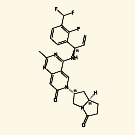 C=C[C@@H](Nc1nc(C)nc2cc(=O)n([C@@H]3C[C@H]4CCC(=O)N4C3)cc12)c1cccc(C(F)F)c1F